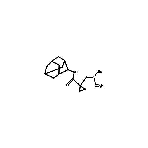 CC(C)(C)N(CC1(C(=O)NC2C3CC4CC(C3)CC2C4)CC1)C(=O)O